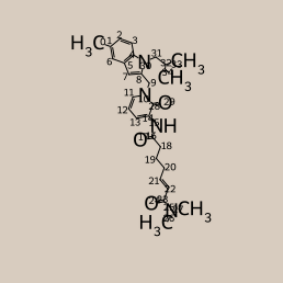 Cc1ccc2c(c1)cc(Cn1cccc(NC(=O)CCC/C=C/C(=O)N(C)C)c1=O)n2CC(C)C